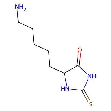 NCCCCCC1NC(=S)NC1=O